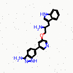 Nc1n[nH]c2cc(-c3cncc(OCC(N)Cc4c[nH]c5ccccc45)c3)ccc12